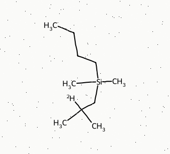 [2H]C(C)(C)C[Si](C)(C)CCCC